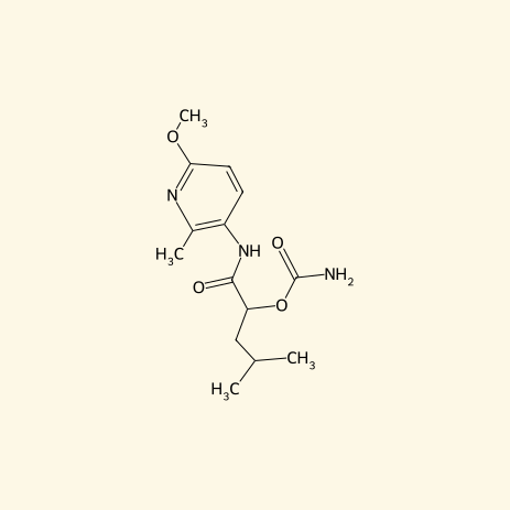 COc1ccc(NC(=O)C(CC(C)C)OC(N)=O)c(C)n1